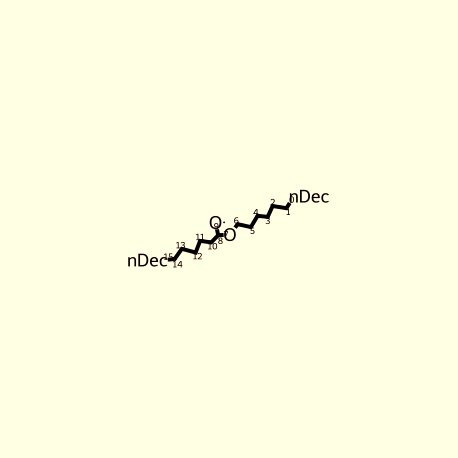 CCCCCCCCCCCCCCCCOC([O])CCCCCCCCCCCCCCC